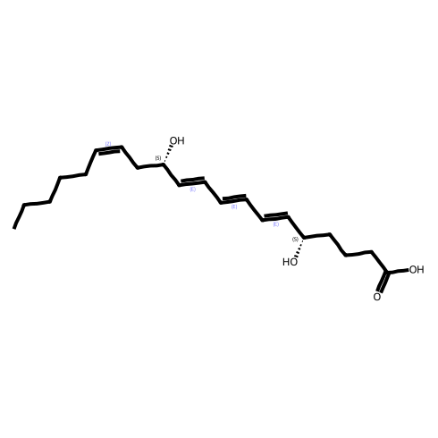 CCCCC/C=C\C[C@H](O)/C=C/C=C/C=C/[C@@H](O)CCCC(=O)O